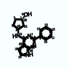 O[C@H]1CC[C@H](Nc2nc(-c3ccccc3)nc3[nH]ccc23)C1